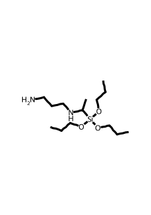 CCCO[Si](OCCC)(OCCC)C(C)NCCCN